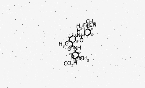 Cc1ccc(NC(=O)c2cccc(C(C)(C)C#N)c2)cc1C(=O)Nc1cnc(C(=O)O)c(C)c1